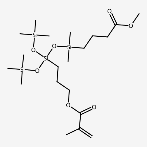 C=C(C)C(=O)OCCC[Si](O[Si](C)(C)C)(O[Si](C)(C)C)O[Si](C)(C)CCCC(=O)OC